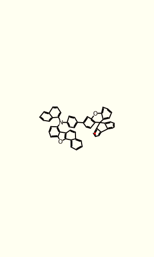 c1ccc2c(c1)Oc1cc(-c3ccc(N(c4cccc5ccccc45)c4cccc5oc6c7ccccc7ccc6c45)cc3)ccc1C21c2ccccc2-c2ccccc21